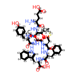 CSCC[C@H](NC(=O)[C@H](CC(C)C)NC(=O)[C@H](Cc1ccc(O)cc1)NC(=O)[C@@H](NC(=O)[C@@H](N)CCC(=O)O)[C@@H](C)O)C(=O)N[C@@H](Cc1ccccc1)C(=O)N[C@@H](Cc1c[nH]c2ccccc12)C(=O)O